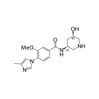 COc1cc(C(=O)N[C@@H]2CNC[C@H](O)C2)ccc1-n1cnc(C)c1